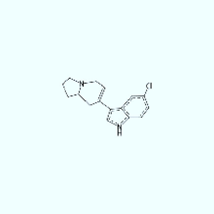 Clc1ccc2[nH]cc(C3=CCN4CCCC4C3)c2c1